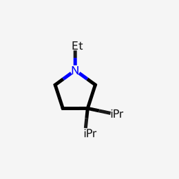 CCN1CCC(C(C)C)(C(C)C)C1